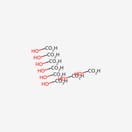 O=C(O)O.O=C(O)O.O=C(O)O.O=C(O)O.O=C(O)O.O=C(O)O.O=C(O)O.O=C(O)O